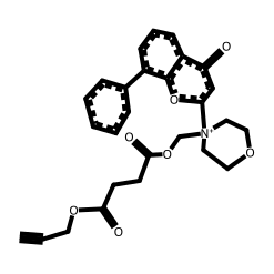 C#CCOC(=O)CCC(=O)OC[N+]1(c2cc(=O)c3cccc(-c4ccccc4)c3o2)CCOCC1